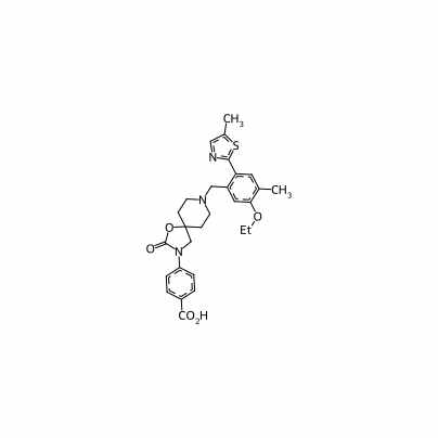 CCOc1cc(CN2CCC3(CC2)CN(c2ccc(C(=O)O)cc2)C(=O)O3)c(-c2ncc(C)s2)cc1C